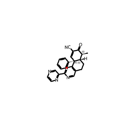 C[C@@H]1C(=O)C(C#N)=C[C@]2(c3ccccc3)c3nc(-c4cnccn4)ncc3CC[C@@H]12